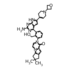 CC1(C)Cc2cc3c(=O)n(-c4cccc(-c5nc(N)nc6[nH]c(C7=CCN(C8COC8)CC7)cc56)c4CO)ccn3c2C1